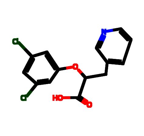 O=C(O)C(Cc1cccnc1)Oc1cc(Cl)cc(Cl)c1